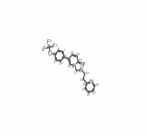 FC(F)(F)Oc1ccc(C2=CN3CN(CCc4ccccn4)N=C3C=C2)cc1